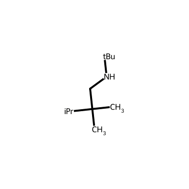 CC(C)C(C)(C)CNC(C)(C)C